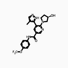 Cc1cn[nH]c1-c1cc(C(=O)Nc2ccc(OC(F)(F)F)cc2)cnc1N1CC[C@@H](O)C1